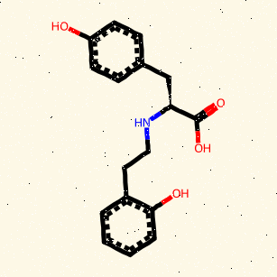 O=C(O)[C@H](Cc1ccc(O)cc1)NCCc1ccccc1O